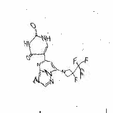 O=c1[nH]cc(-c2cc(N3CC(F)(C(F)(F)F)C3)n3ncnc3n2)c(=O)[nH]1